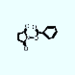 O=C(ON1C(=O)CCC1=O)c1ccccc1